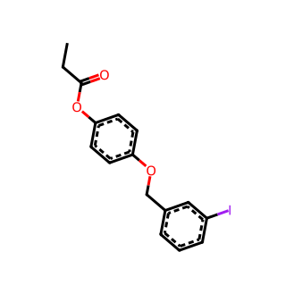 CCC(=O)Oc1ccc(OCc2cccc(I)c2)cc1